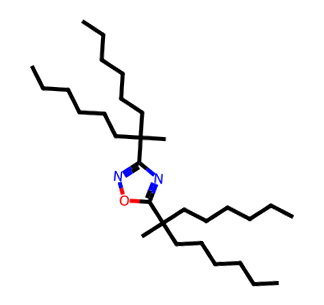 CCCCCCC(C)(CCCCCC)c1noc(C(C)(CCCCCC)CCCCCC)n1